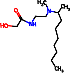 CCCCCCCC(C)N(C)CCNC(=O)CO